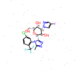 Cc1nnc([C@@H]2O[C@H](CO)[C@H](O)[C@H](n3cc(I)cn3)[C@H]2O)n1-c1cc(Cl)ccc1C(F)(F)F